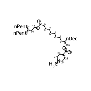 CCCCCCCCCCC(CCCCCCCCC(=O)OCCC(CCCCC)CCCCC)COC(=O)C1CCN(C)CC1